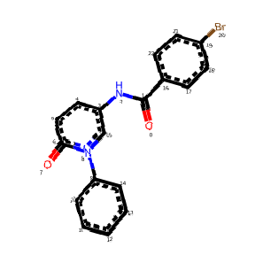 O=C(Nc1ccc(=O)n(-c2ccccc2)c1)c1ccc(Br)cc1